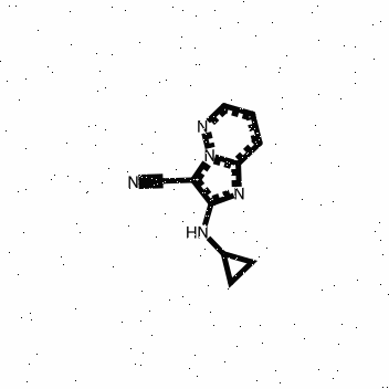 N#Cc1c(NC2CC2)nc2cccnn12